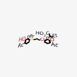 CCCc1c(SCCCOc2ccc(C(C)=O)c(OC(CC)CCC(=O)O)c2CCC)ccc(C(C)=O)c1O